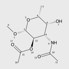 CO[C@@H]1O[C@H](C)[C@H](O)[C@H](NC(C)=O)[C@H]1OC(C)=O